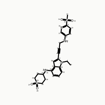 CCn1c(C#CCNc2ccc(S(C)(=O)=O)nc2)cc2c(NC3CCS(=O)(=O)CC3)cccc21